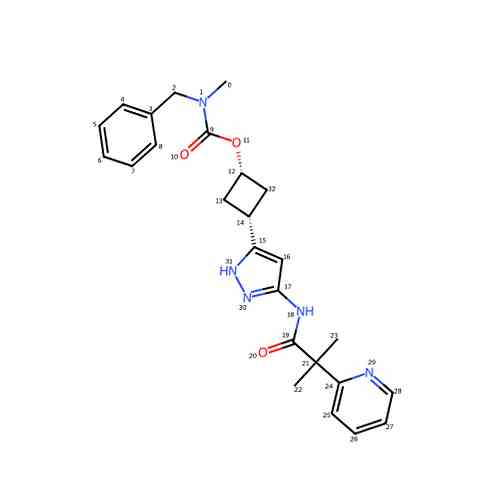 CN(Cc1ccccc1)C(=O)O[C@H]1C[C@@H](c2cc(NC(=O)C(C)(C)c3ccccn3)n[nH]2)C1